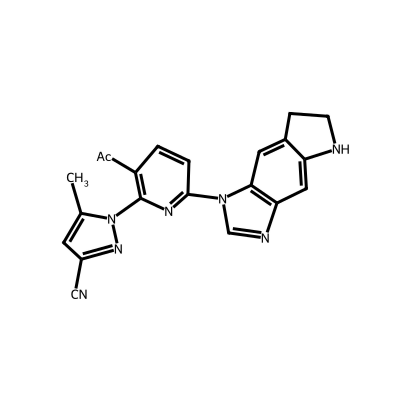 CC(=O)c1ccc(-n2cnc3cc4c(cc32)CCN4)nc1-n1nc(C#N)cc1C